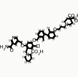 Cc1c(COc2cc(OCc3cncc(C(N)=O)c3)c(CN3CCCC[C@H]3C(=O)O)cc2Cl)cccc1-c1cccc(OCCCN2CCC(CO)(C(=O)O)CC2)c1C